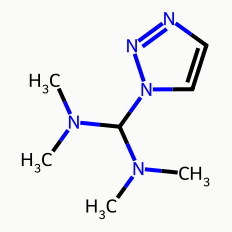 CN(C)C(N(C)C)n1ccnn1